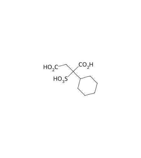 O=C(O)CC(C(=O)O)(C1CCCCC1)S(=O)(=O)O